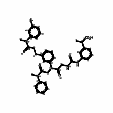 CC(C(=O)O)c1cccc(NC(=O)NCC(=O)N(CC(=O)N(C)c2ccccc2)c2cccc(OCC(=O)N(C)c3cccc(Br)c3)c2)c1